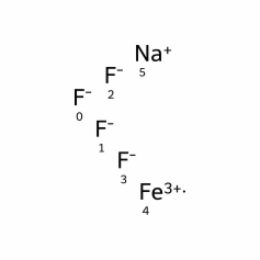 [F-].[F-].[F-].[F-].[Fe+3].[Na+]